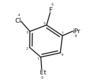 CCc1cc(Cl)c(F)c(C(C)C)c1